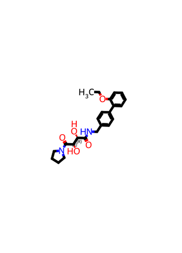 CCOc1ccccc1-c1ccc(CNC(=O)[C@H](O)[C@@H](O)C(=O)N2CCCC2)cc1